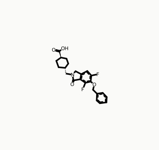 O=C1c2c(cc(F)c(OCc3ccccc3)c2F)CN1C[C@H]1CC[C@H](C(=O)O)CC1